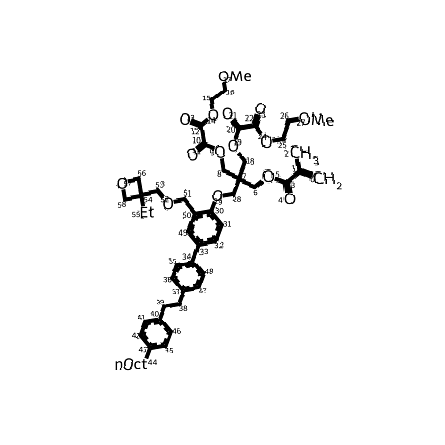 C=C(C)C(=O)OCC(COC(=O)C(=O)OCCOC)(COC(=O)C(=O)OCCOC)COc1ccc(-c2ccc(CCc3ccc(CCCCCCCC)cc3)cc2)cc1COCC1(CC)COC1